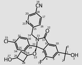 CC(C)(O)c1cc(F)c2c(c1)C(=O)N(Cc1ccc(C#N)cn1)[C@@]2(OC1CC(O)C1)c1ccc(Cl)cc1